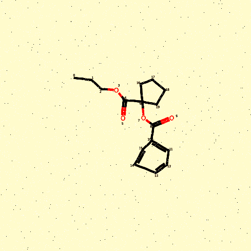 CCCOC(=O)C1(OC(=O)c2ccccc2)CCCC1